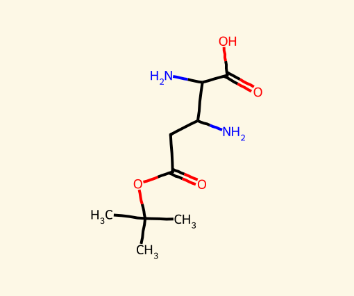 CC(C)(C)OC(=O)CC(N)C(N)C(=O)O